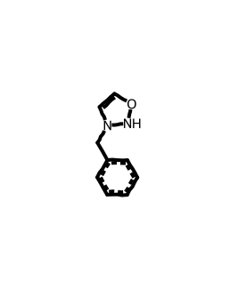 C1=CN(Cc2ccccc2)NO1